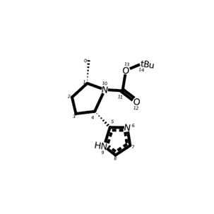 C[C@H]1CC[C@@H](c2ncc[nH]2)N1C(=O)OC(C)(C)C